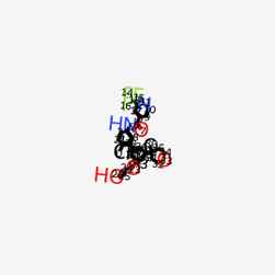 Cc1ccc(NC(=O)c2ccnc(C(F)(F)F)c2)cc1-c1cc(OCCO)cc(C2(C)CCOCC2)c1